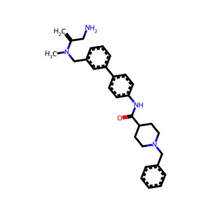 C=C(CN)N(C)Cc1cccc(-c2ccc(NC(=O)C3CCN(Cc4ccccc4)CC3)cc2)c1